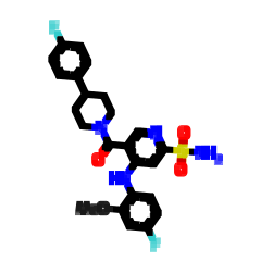 COc1cc(F)ccc1Nc1cc(S(N)(=O)=O)ncc1C(=O)N1CCC(c2ccc(F)cc2)CC1